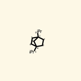 CC(C)C12CCC(C(C)C)(CC1)C2